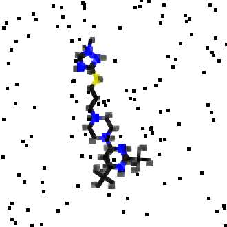 Cn1cnc(SCCCN2CCN(c3cc(C(C)(C)C)nc(C(C)(C)C)n3)CC2)n1